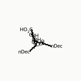 CCCCCCCCCCCCCCCCCC(=O)OC[C@H](COP(=O)(O)OCCNC(=O)CCCC(=O)O)OC(=O)CCCCCCCCCCCCCCCCC